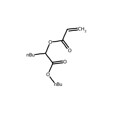 C=CC(=O)OC(CCCC)C(=O)OCCCC